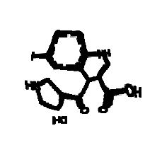 Cl.O=C(O)C1=CNc2ccc(I)cc2C1C(=O)C1CCNC1